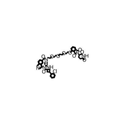 O=C1CCC(N2C(=O)c3cccc(OCCOCCOCCOCCNC(=O)c4ccc5cncc(N6C(=O)NC7(CC(c8ccccc8Cl)C7)C6=O)c5c4)c3C2=O)C(=O)N1